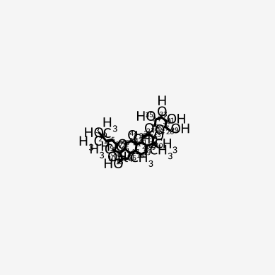 CC(C)(O)/C=C/C(=O)C(C)(O)C1C(O)CC2(C)C3CC=C4C(C=C(OC5OC(CO)C(O)C(O)C5O)C(=O)C4(C)C)C3(C)C(=O)CC12C